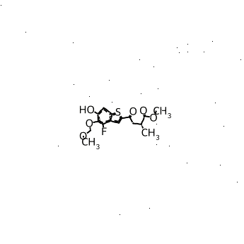 COCOc1c(O)cc2sc(C(=O)C[C@H](C)C(=O)OC)cc2c1F